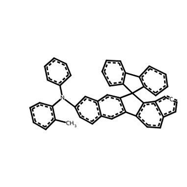 Cc1ccccc1N(c1ccccc1)c1ccc2cc3c(cc2c1)C1(c2ccccc2-c2ccccc21)c1c-3ccc2ccccc12